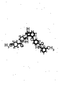 Cc1ccnc(NC(=O)c2ccc(Oc3ccnc4[nH]nc(N[C@@H]5CCCN(C(=O)C6CCN(C)CC6)C5)c34)cc2)c1